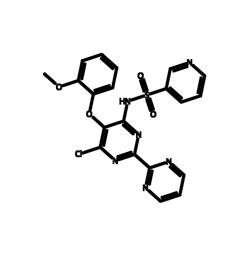 COc1ccccc1Oc1c(Cl)nc(-c2ncccn2)nc1NS(=O)(=O)c1cccnc1